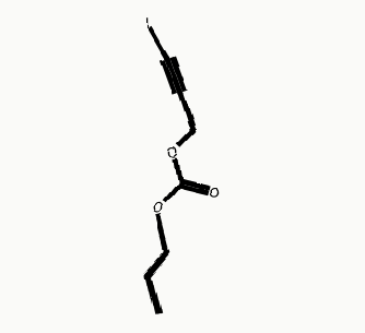 CCCOC(=O)OCC#CI